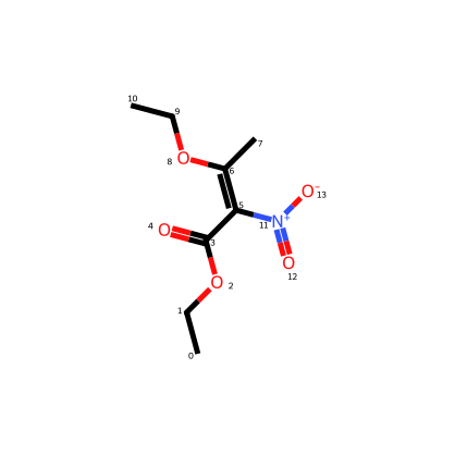 CCOC(=O)C(=C(C)OCC)[N+](=O)[O-]